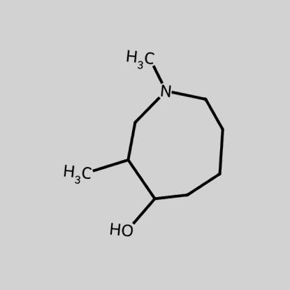 CC1CN(C)CCCCC1O